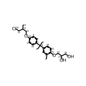 Cc1cc(C(C)(C)c2ccc(OCC(C)CCl)cc2)ccc1OCC(O)CO